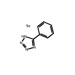 [Se].c1ccc(-c2nnn[nH]2)cc1